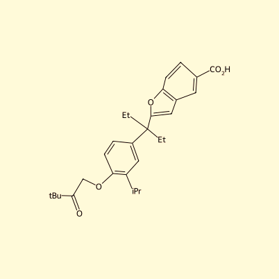 CCC(CC)(c1ccc(OCC(=O)C(C)(C)C)c(C(C)C)c1)c1cc2cc(C(=O)O)ccc2o1